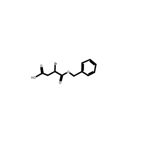 O=C(O)CC(Br)C(=O)OCc1ccccc1